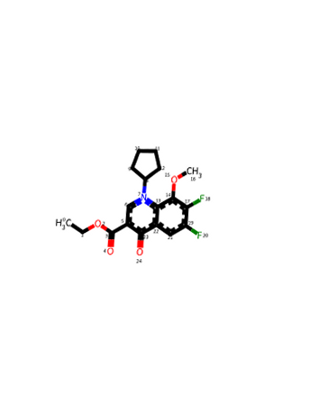 CCOC(=O)c1cn(C2CCCC2)c2c(OC)c(F)c(F)cc2c1=O